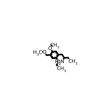 CCOc1cc(COC)c(OC)cc1CC(N)CC